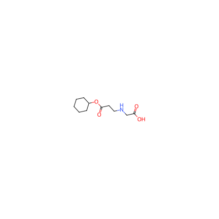 O=C(O)CNCCC(=O)OC1CCCCC1